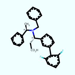 C[C@H](c1ccccc1)N(Cc1ccccc1)[C@@H](CC(=O)O)c1cccc(-c2c(F)cccc2F)c1